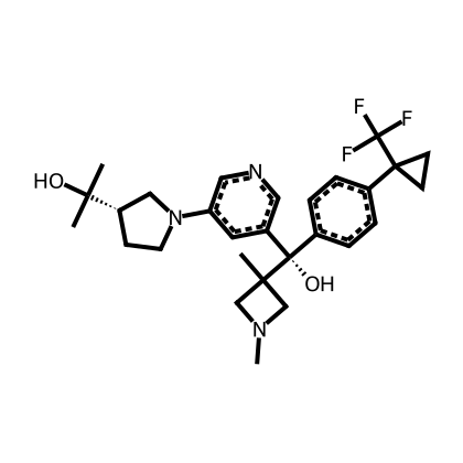 CN1CC(C)([C@](O)(c2ccc(C3(C(F)(F)F)CC3)cc2)c2cncc(N3CC[C@H](C(C)(C)O)C3)c2)C1